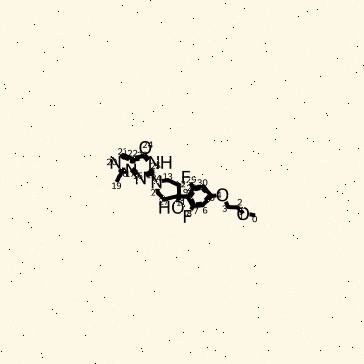 COCCOc1cc(F)c(C2(O)CCN(c3nn4c(C)ncc4c(=O)[nH]3)CC2)c(F)c1